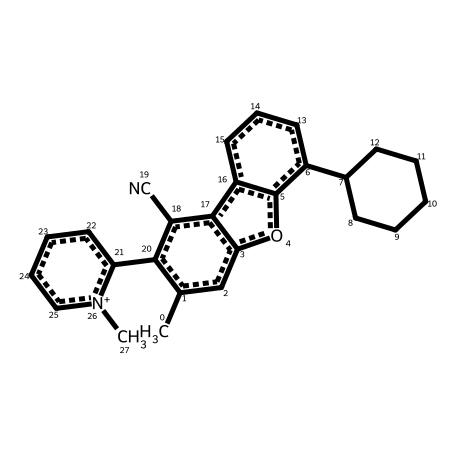 Cc1cc2oc3c(C4CCCCC4)cccc3c2c(C#N)c1-c1cccc[n+]1C